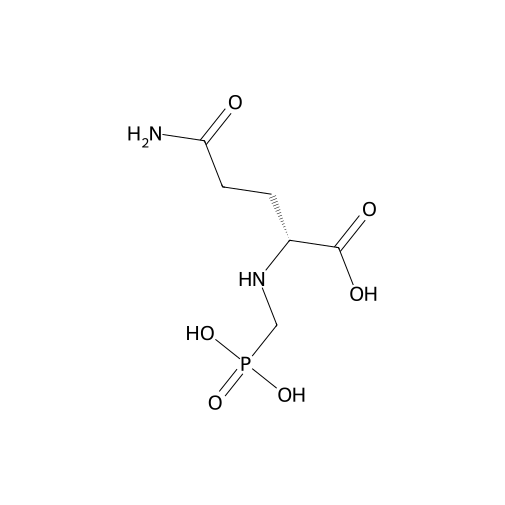 NC(=O)CC[C@@H](NCP(=O)(O)O)C(=O)O